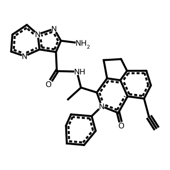 C#Cc1ccc2c3c(c(C(C)NC(=O)c4c(N)nn5cccnc45)n(-c4ccccc4)c(=O)c13)CC2